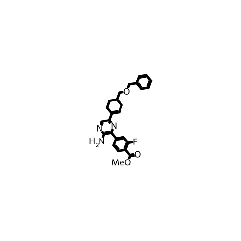 COC(=O)c1ccc(-c2nc(C3=CCC(COCc4ccccc4)CC3)cnc2N)cc1F